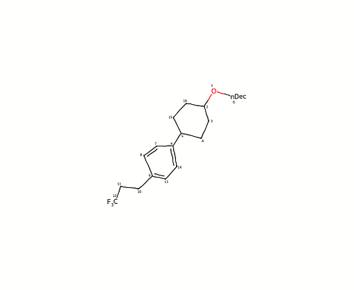 CCCCCCCCCCOC1CCC(c2ccc(CCC(F)(F)F)cc2)CC1